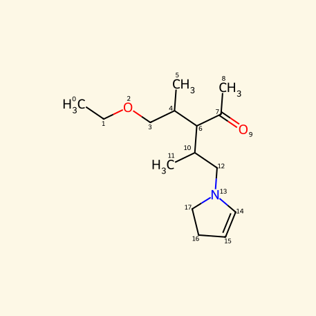 CCOCC(C)C(C(C)=O)C(C)CN1C=CCC1